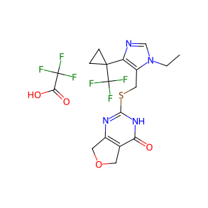 CCn1cnc(C2(C(F)(F)F)CC2)c1CSc1nc2c(c(=O)[nH]1)COC2.O=C(O)C(F)(F)F